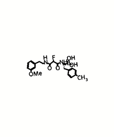 COc1cccc(CCNC(=O)C(F)C(=O)N[C@@H](Cc2ccc(C)cc2)B(O)O)c1